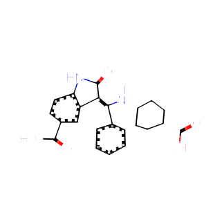 CC(=O)c1ccc2c(c1)/C(=C(/N[C@H]1CC[C@@H](C(=O)O)CC1)c1ccccc1)C(=O)N2